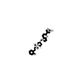 C[C@H]1C[C@@H](Cn2ccc3nc(-c4cn[nH]c4)ccc32)CN1S(=O)(=O)CCc1ccccc1F